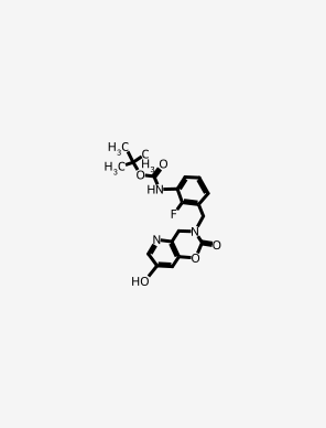 CC(C)(C)OC(=O)Nc1cccc(CN2Cc3ncc(O)cc3OC2=O)c1F